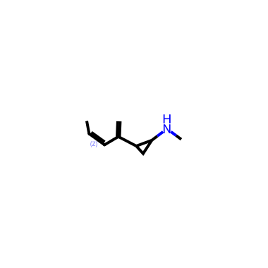 C=C(/C=C\C)C1CC1NC